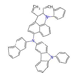 C=CC1c2ccc(N(c3ccc4ccccc4c3)c3ccc4c(c3)c3ccccc3n4-c3ccccc3)c3cccc(c23)N(c2ccccc2)C1C=C